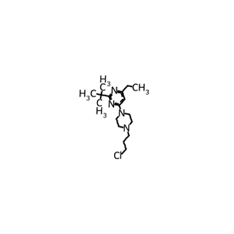 CCc1cc(N2CCN(CCCCl)CC2)nc(C(C)(C)C)n1